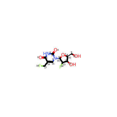 O=c1[nH]c(=O)n([C@H]2O[C@@H](CO)C(O)C2F)cc1CF